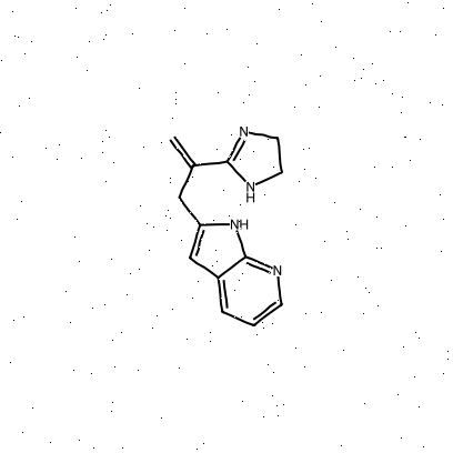 C=C(Cc1cc2cccnc2[nH]1)C1=NCCN1